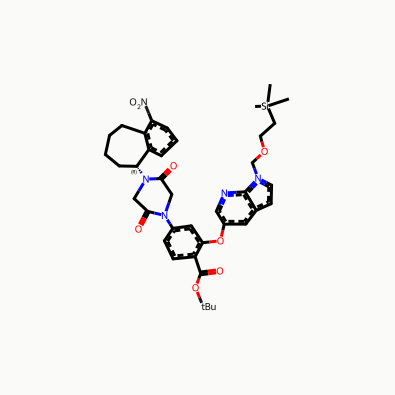 CC(C)(C)OC(=O)c1ccc(N2CC(=O)N([C@@H]3CCCCc4c3cccc4[N+](=O)[O-])CC2=O)cc1Oc1cnc2c(ccn2COCC[Si](C)(C)C)c1